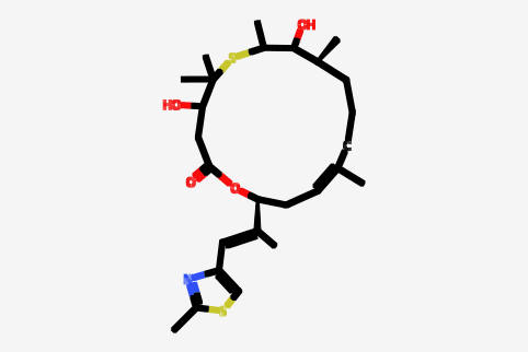 C/C1=C/C[C@@H](/C(C)=C/c2csc(C)n2)OC(=O)CC(O)C(C)(C)SC(C)C(O)[C@@H](C)CCC1